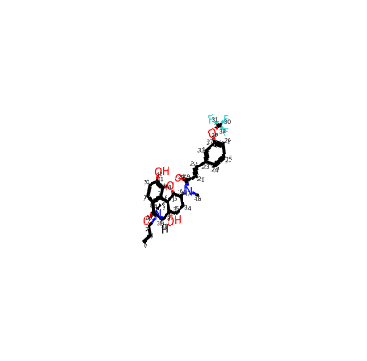 C=CCN1CC[C@]23c4c5ccc(O)c4OC2C(N(C)C(=O)/C=C/c2cccc(OC(F)(F)F)c2)CC[C@@]3(O)[C@H]1C5=O